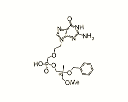 COC[C@](C)(COP(=O)(O)COCCn1cnc2c(=O)[nH]c(N)nc21)OCc1ccccc1